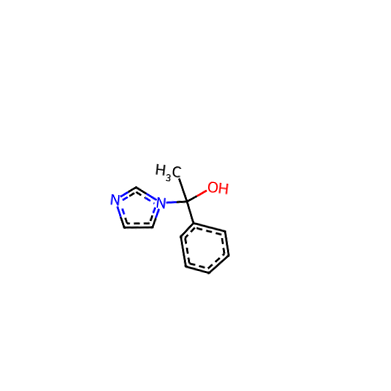 CC(O)(c1ccccc1)n1ccnc1